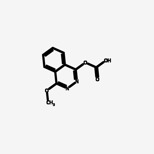 COc1nnc(OC(=O)O)c2ccccc12